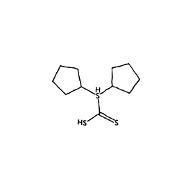 S=C(S)[SH](C1CCCC1)C1CCCC1